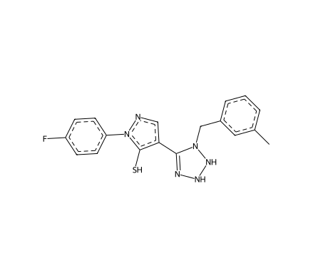 Cc1cccc(CN2NNN=C2c2cnn(-c3ccc(F)cc3)c2S)c1